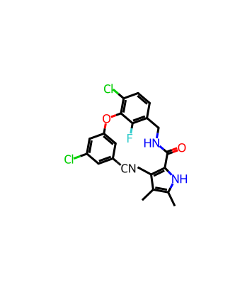 Cc1[nH]c(C(=O)NCc2ccc(Cl)c(Oc3cc(Cl)cc(C#N)c3)c2F)c(C)c1C